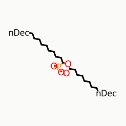 CCCCCCCCCCCCCCCCCCCC(OC(=O)CCCCCCCCCCCCCCCCC)P(=O)=O